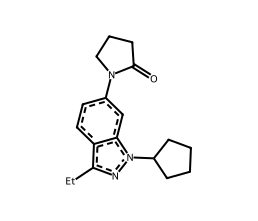 CCc1nn(C2CCCC2)c2cc(N3CCCC3=O)ccc12